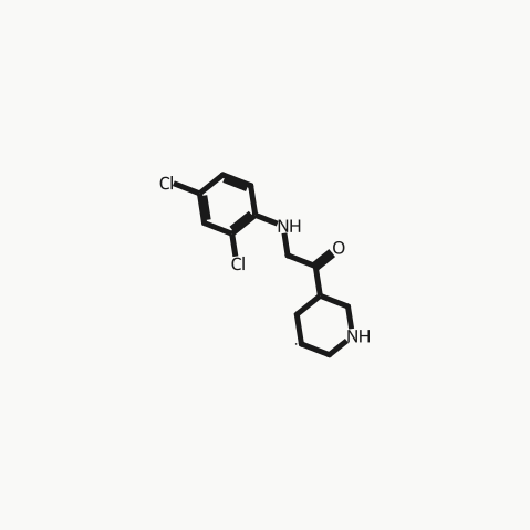 O=C(CNc1ccc(Cl)cc1Cl)C1C[CH]CNC1